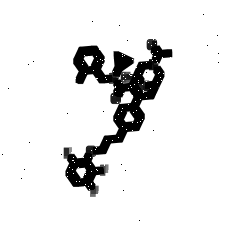 CC(=O)N1CC2CC(c3ccc(CCCOc4c(F)ccc(F)c4F)cc3)=C(C(=O)N(Cc3ccccc3C)C3CC3)[C@@H](C1)N2